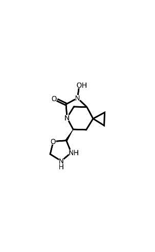 O=C1N(O)C2CN1[C@H](C1NNCO1)CC21CC1